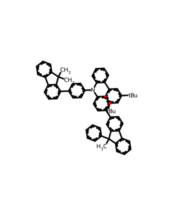 CC(C)(C)c1cc(-c2ccccc2N(c2ccc(-c3ccc4c(c3)C(C)(c3ccccc3)c3ccccc3-4)cc2)c2ccc(-c3cccc4c3C(C)(C)c3ccccc3-4)cc2)cc(C(C)(C)C)c1